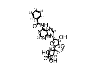 CO[C@H]1[C@@H](O)[C@H](n2cnc3c(NC(=O)c4ccccc4)ncnc32)O[C@@H]1C(C)(C)CP(=O)(O)O